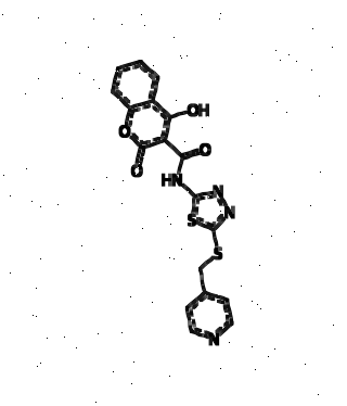 O=C(Nc1nnc(SCc2ccncc2)s1)c1c(O)c2ccccc2oc1=O